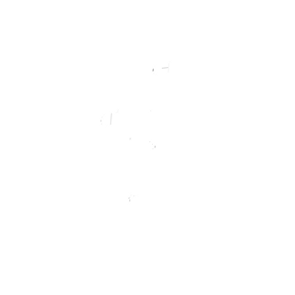 CCCC(Cl)c1cc(Br)cs1